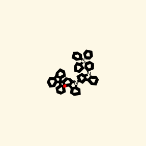 c1ccc(C2(c3ccc4c(c3)c3ccccc3n4-c3ccc4c(c3)c3ccccc3n4-c3cccc(S(c4ccccc4)(c4ccccc4)c4ccccc4)c3)c3ccccc3-c3ccccc32)cc1